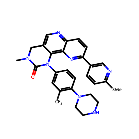 CSc1ccc(-c2ccc3ncc4c(c3n2)N(c2ccc(N3CCNCC3)c(C(F)(F)F)c2)C(=O)N(C)C4)cn1